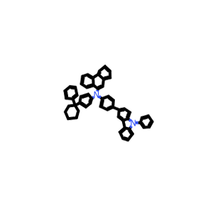 c1ccc(-n2c3ccccc3c3cc(-c4ccc(N(c5ccc(C6(c7ccccc7)CCCCC6)cc5)c5cc6ccccc6c6ccccc56)cc4)ccc32)cc1